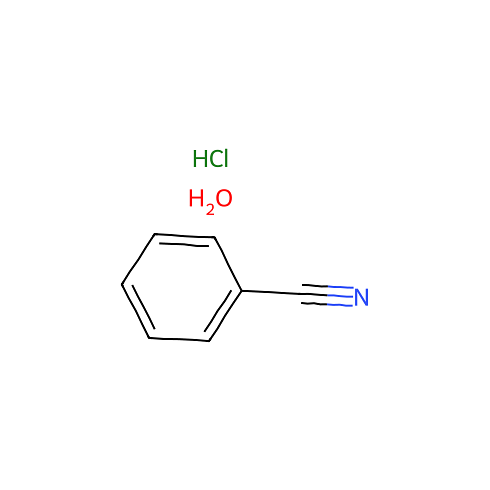 Cl.N#Cc1ccccc1.O